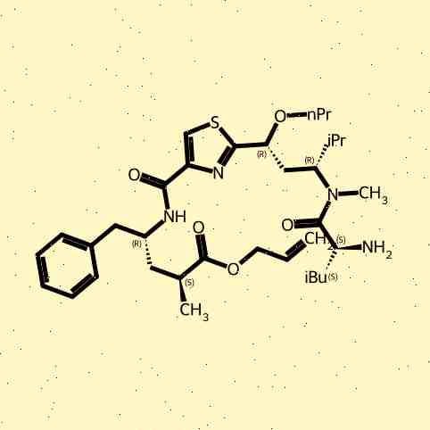 C=CCOC(=O)[C@@H](C)C[C@H](Cc1ccccc1)NC(=O)c1csc([C@@H](C[C@H](C(C)C)N(C)C(=O)[C@@H](N)[C@@H](C)CC)OCCC)n1